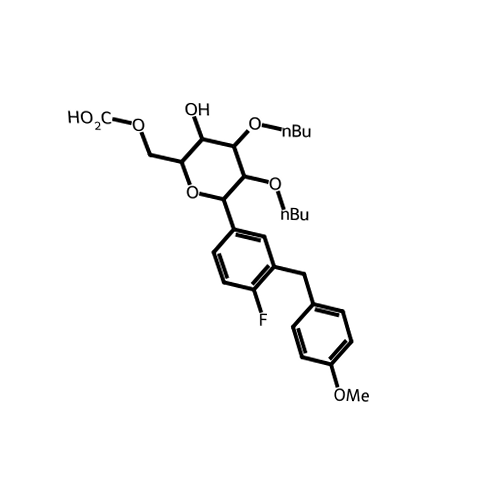 CCCCOC1C(c2ccc(F)c(Cc3ccc(OC)cc3)c2)OC(COC(=O)O)C(O)C1OCCCC